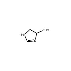 O=[C]C1CNC=N1